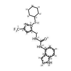 O=C(NCc1cc(C(F)(F)F)nn1SC1CCCCC1)Nc1cccc2[nH]ncc12